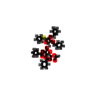 CC(=O)OC[C@@H]1O[C@@H](OC[C@@H]2O[C@@H](Sc3ccccc3)C(OCc3ccccc3)C2OCc2ccccc2)C(OC(=O)c2ccccc2)C1OC(=O)c1ccccc1